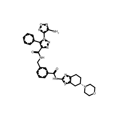 Nc1nonc1-n1nnc(C(=O)NCc2cccc(C(=O)Nc3nc4c(s3)C[C@@H](N3CCOCC3)CC4)c2)c1-c1ccccc1